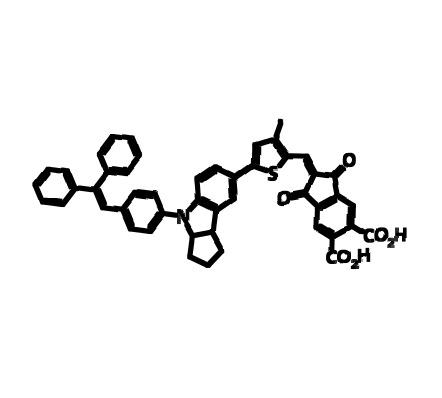 Cc1cc(-c2ccc3c(c2)C2CCCC2N3c2ccc(C=C(c3ccccc3)c3ccccc3)cc2)sc1C=C1C(=O)c2cc(C(=O)O)c(C(=O)O)cc2C1=O